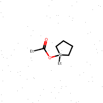 CCC(=O)O[Si]1(CC)CCCC1